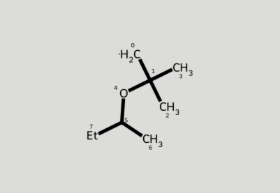 [CH2]C(C)(C)OC(C)CC